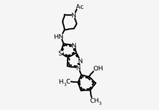 CC(=O)N1CCC(Nc2nc3nn(-c4c(C)cc(C)cc4O)cc3s2)CC1